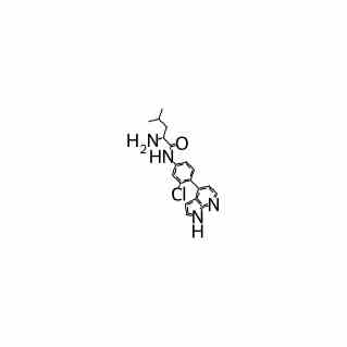 CC(C)C[C@H](N)C(=O)Nc1ccc(-c2ccnc3[nH]ccc23)c(Cl)c1